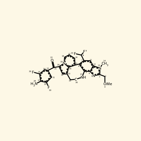 COCc1nc2c3c(c(C(F)F)cc2n1C)-c1cccn2c(C(=O)c4cc(F)c(N)c(F)c4)cc(c12)CCN3